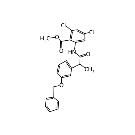 COC(=O)c1c(Cl)cc(Cl)cc1NC(=O)C(C)c1cccc(OCc2ccccc2)c1